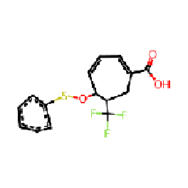 O=C(O)C1=CC=CC(OSc2ccccc2)C(C(F)(F)F)C1